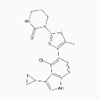 Cc1sc(N2CCCNC2=O)nc1-c1cnc2[nH]cc(C3CC3)c2c1Cl